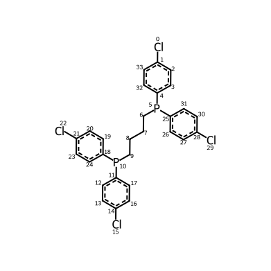 Clc1ccc(P(CCCCP(c2ccc(Cl)cc2)c2ccc(Cl)cc2)c2ccc(Cl)cc2)cc1